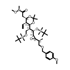 C=C[C@@H]1[C@H]([C@H](CO[Si](C)(C)C(C)(C)C)[C@H](O[Si](C)(C)C(C)(C)C)[C@H]2O[C@@H]2[C@@H](C)COCc2ccc(OC)cc2)OC(C)(C)O[C@@H]1CC(=O)N(C)OC